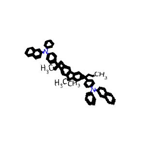 CCCC1(c2ccc(N(c3ccccc3)c3ccc4ccccc4c3)cc2)c2cc3c(cc21)C(C)(C)c1cc2c(cc1-3)CC2(CC)c1ccc(N(c2ccccc2)c2ccc3ccccc3c2)cc1